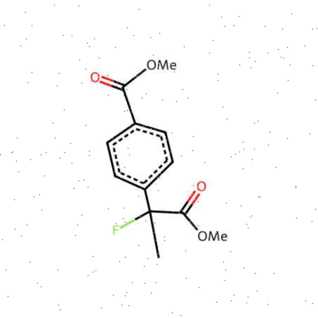 COC(=O)c1ccc(C(C)(F)C(=O)OC)cc1